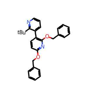 CC(C)(C)c1ncccc1-c1ccc(OCc2ccccc2)nc1OCc1ccccc1